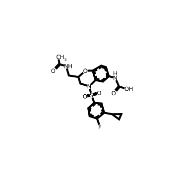 CC(=O)NCC1CN(S(=O)(=O)c2ccc(F)c(C3CC3)c2)c2cc(NC(=O)O)ccc2O1